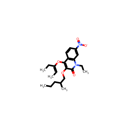 CC=C(CC)Oc1c(OCC(C)CCC)c(=O)n(CC)c2cc([N+](=O)[O-])ccc12